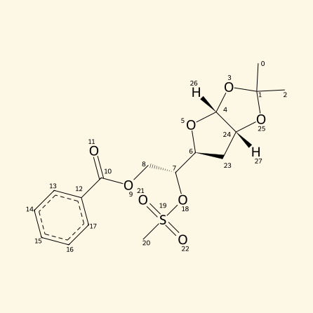 CC1(C)O[C@H]2O[C@H]([C@@H](COC(=O)c3ccccc3)OS(C)(=O)=O)C[C@H]2O1